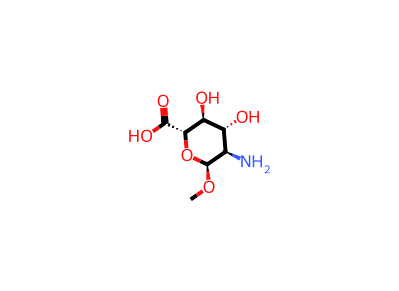 CO[C@H]1O[C@H](C(=O)O)[C@@H](O)[C@H](O)[C@H]1N